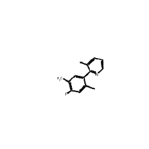 Cc1cc(F)c(C(F)(F)F)cc1-c1ncccc1C